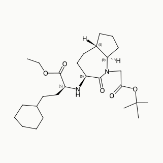 CCOC(=O)[C@H](CCC1CCCCC1)N[C@H]1CC[C@@H]2CCC[C@H]2N(CC(=O)OC(C)(C)C)C1=O